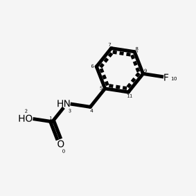 O=C(O)NCc1cc[c]c(F)c1